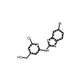 OCc1cc(Cl)nc(Nc2nc3ccc(Br)cc3s2)c1